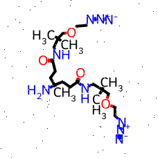 CC(C)(CNC(=O)CCC(C)(N)CCC(=O)NCC(C)(C)COCCN=[N+]=[N-])COCCN=[N+]=[N-]